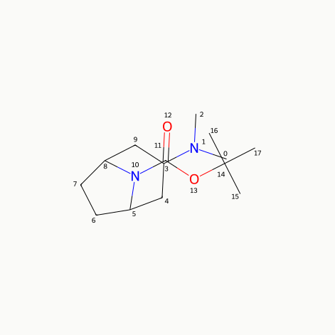 CN(C)C1CC2CCC(C1)N2C(=O)OC(C)(C)C